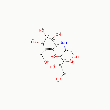 OCC1=CC(NC(CO)C(O)C(O)C(O)CO)C(O)C(O)C1O